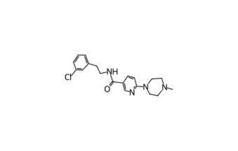 CN1CCN(c2ccc(C(=O)NCCc3cccc(Cl)c3)cn2)CC1